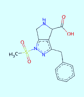 CS(=O)(=O)n1nc(Cc2ccccc2)c2c1CNC2C(=O)O